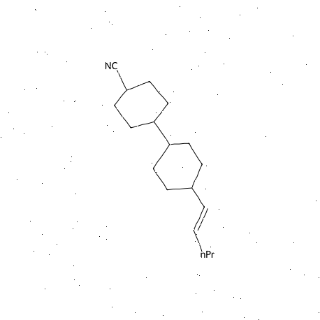 CCCC=CC1CCC(C2CCC(C#N)CC2)CC1